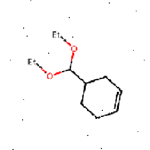 CCOC(OCC)C1CC=CCC1